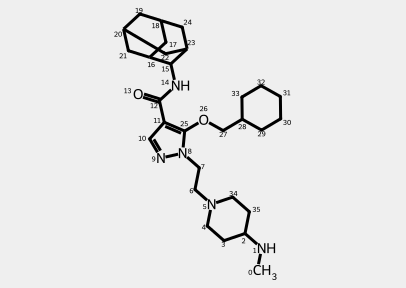 CNC1CCN(CCn2ncc(C(=O)NC3C4CC5CC(C4)CC3C5)c2OCC2CCCCC2)CC1